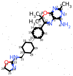 Cc1nc(N)c2c(n1)OC(C)(C)C(c1ccc([C@H]3CC[C@H](CNC4=NCCO4)CC3)cc1)=N2